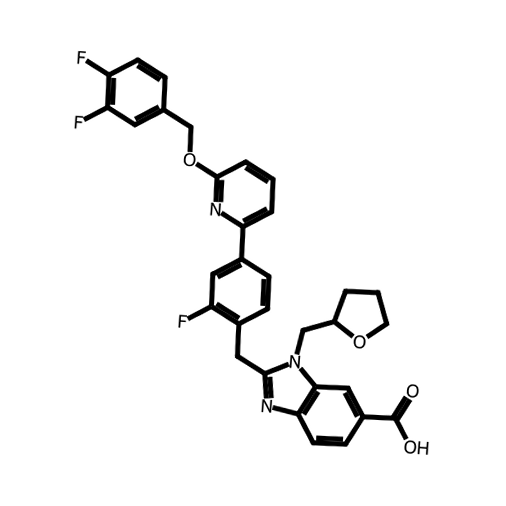 O=C(O)c1ccc2nc(Cc3ccc(-c4cccc(OCc5ccc(F)c(F)c5)n4)cc3F)n(CC3CCCO3)c2c1